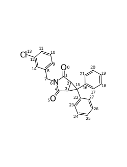 O=C1C2C(C(=O)N1Cc1cccc(Cl)c1)C2(c1ccccc1)c1ccccc1